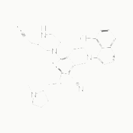 CN1CCC[C@H]1COc1nc(N2CCNC(CC#N)C2)c2c(c1C#N)CN(c1cccc3cccc(Cl)c13)CC2